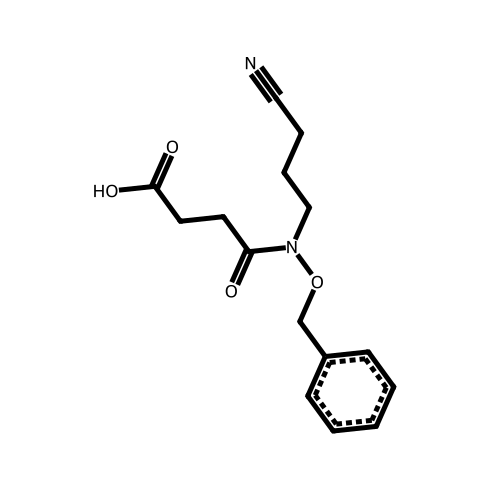 N#CCCCN(OCc1ccccc1)C(=O)CCC(=O)O